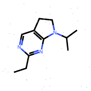 CCc1ncc2c(n1)N(C(C)C)CC2